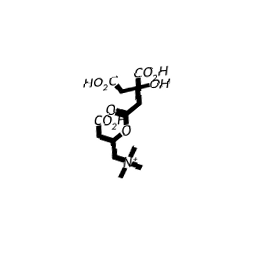 C[N+](C)(C)CC(CC(=O)O)OC(=O)CC(O)(CC(=O)O)C(=O)O